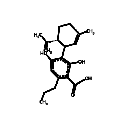 C=C(C)[C@@H]1CCC(C)=CC1c1c(O)cc(CCC)c(C(=O)O)c1O